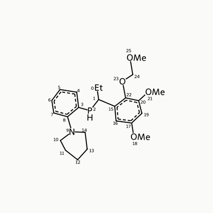 CCC(Pc1ccccc1N1CCCCC1)c1cc(OC)cc(OC)c1OCOC